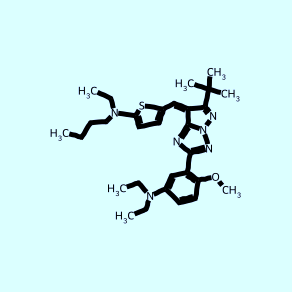 CCCCN(CC)c1ccc(/C=c2/c(C(C)(C)C)nn3nc(-c4cc(N(CC)CC)ccc4OC)nc23)s1